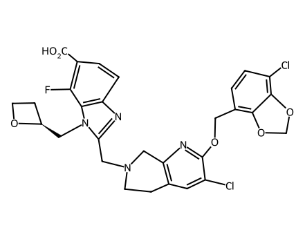 O=C(O)c1ccc2nc(CN3CCc4cc(Cl)c(OCc5ccc(Cl)c6c5OCO6)nc4C3)n(C[C@@H]3CCO3)c2c1F